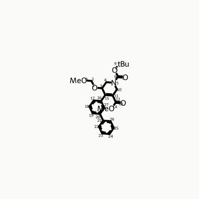 COCOC1CN(C(=O)OC(C)(C)C)CC(C(=O)OC)=C1c1cccc(-c2ccccc2)c1